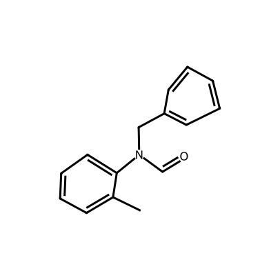 Cc1ccccc1N(C=O)Cc1ccccc1